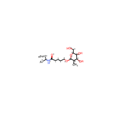 CCCCC[C@@H](NC(=O)CCCCOC1OC(CO)C(O)C(O)C1C)C(C)=O